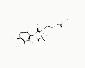 COC(=O)CCCN1C(=S)N(c2ccc(C#N)c(SC)c2F)C(=O)C1(C)C